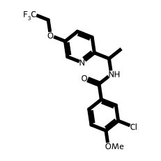 COc1ccc(C(=O)NC(C)c2ccc(OCC(F)(F)F)cn2)cc1Cl